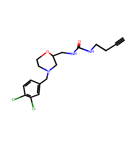 C#CCCNC(=O)NCC1CN(Cc2ccc(Cl)c(Cl)c2)CCO1